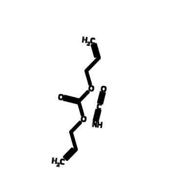 C=CCOC(=O)OCC=C.N=C=O